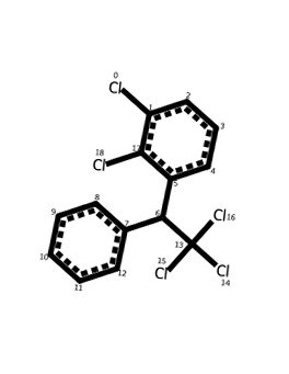 Clc1cccc(C(c2ccccc2)C(Cl)(Cl)Cl)c1Cl